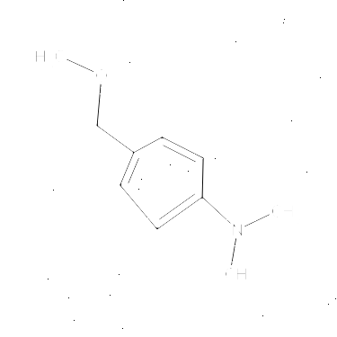 COCc1ccc(N(C)C)cc1